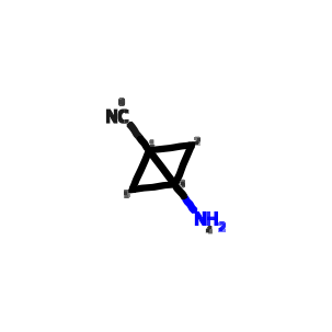 N#CC12CC1(N)C2